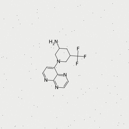 NC1CC(C(F)(F)F)CN(c2ccnc3nccnc23)C1